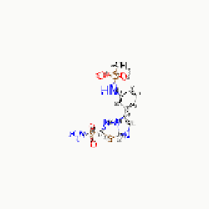 CS(=O)(=O)Nc1cccc(-c2cnc3sc(S(N)(=O)=O)nn23)c1